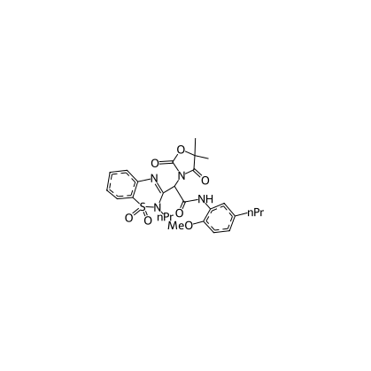 CCCc1ccc(OC)c(NC(=O)C(C2=Nc3ccccc3S(=O)(=O)N2CCC)N2C(=O)OC(C)(C)C2=O)c1